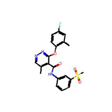 Cc1cc(F)ccc1Oc1nncc(C)c1C(=O)Nc1cccc(S(C)(=O)=O)c1